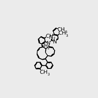 C=C1/C=C\C=C/CC(c2ccccc2-c2ccccc2C)C2/C=C\C/C=C(/N(c3ncc(C)c(/C=C\C)n3)c3ccccc3C)C1C2